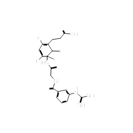 N=C(N)Nc1cccc(C(=O)NCC(=O)NC2(F)C(F)=CC(F)=C(CCC(=O)O)C2F)c1